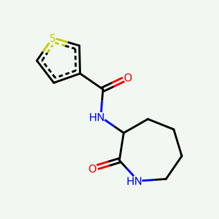 O=C(NC1CCCCNC1=O)c1ccsc1